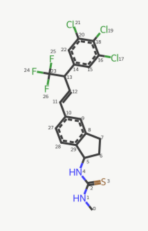 CNC(=S)NC1CCc2cc(C=CC(c3cc(Cl)c(Cl)c(Cl)c3)C(F)(F)F)ccc21